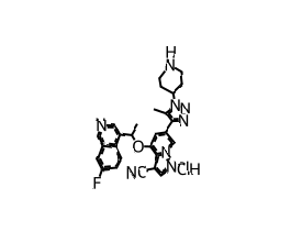 Cc1c(-c2cc(OC(C)c3cncc4cc(F)ccc34)c3c(C#N)cnn3c2)nnn1C1CCNCC1.Cl